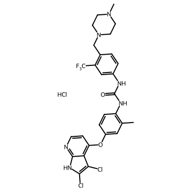 Cc1cc(Oc2ccnc3[nH]c(Cl)c(Cl)c23)ccc1NC(=O)Nc1ccc(CN2CCN(C)CC2)c(C(F)(F)F)c1.Cl